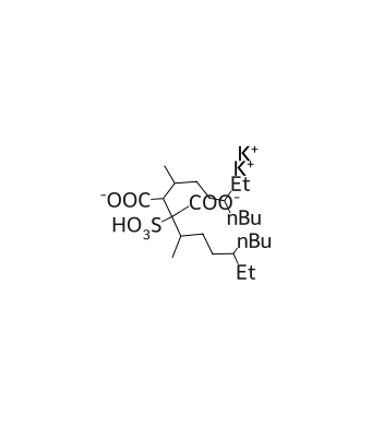 CCCCC(CC)CCC(C)C(C(=O)[O-])C(C(=O)[O-])(C(C)CCC(CC)CCCC)S(=O)(=O)O.[K+].[K+]